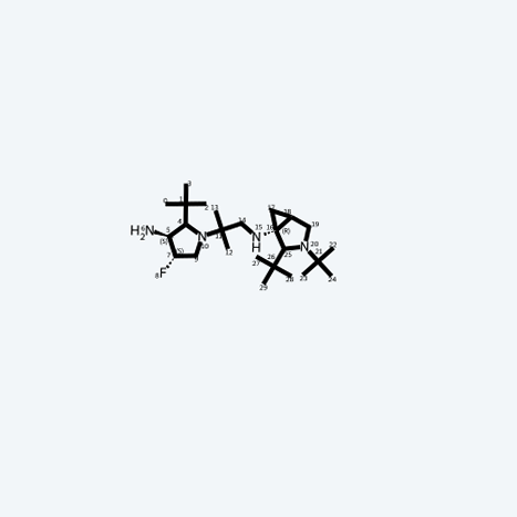 CC(C)(C)C1[C@H](N)[C@@H](F)CN1C(C)(C)CN[C@]12CC1CN(C(C)(C)C)C2C(C)(C)C